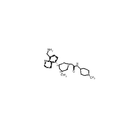 C[C@@H]1C[C@H](c2ccc(CN)c3ncccc23)CN(CC(=O)NC2CCN(C)CC2)C1